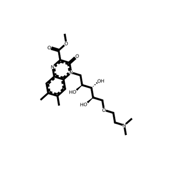 COC(=O)c1nc2cc(C)c(C)cc2n(C[C@H](O)[C@H](O)[C@H](O)COCCN(C)C)c1=O